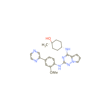 COc1cc(-c2cnccn2)ccc1Nc1nc(N[C@H]2CC[C@](C)(O)CC2)c2cccn2n1